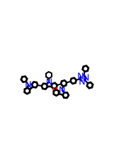 c1ccc(-c2nc(-c3ccccc3)nc(-c3ccc(-c4ccc(-c5ccc6c7ccc(-c8ccc9c(c8)c8ccccc8n9-c8ccccc8)cc7n(C7CCCCC7)c6c5)c(-n5c6ccccc6c6ccccc65)c4)cc3)n2)cc1